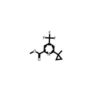 COC(=O)c1cc(C(F)(F)F)cc(C2(C)CC2)n1